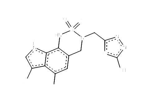 Cc1nnc(CN2Cc3cc(Cl)c4c(Cl)c[nH]c4c3NS2(=O)=O)o1